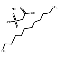 CCCCCCCCCCCC.O=C(O)CS(=O)(=O)O.[NaH]